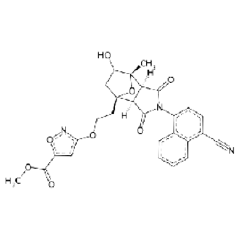 COC(=O)c1cc(OCC[C@@]23CC(O)[C@@](C)(O2)[C@H]2C(=O)N(c4ccc(C#N)c5ccccc45)C(=O)[C@H]23)no1